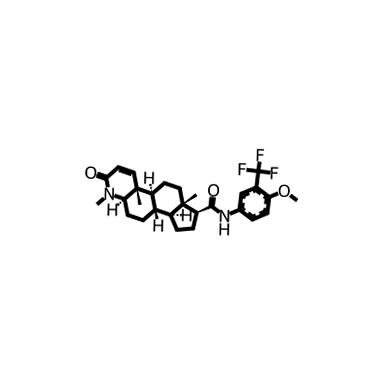 COc1ccc(NC(=O)[C@H]2CC[C@H]3[C@@H]4CC[C@H]5N(C)C(=O)C=C[C@]5(C)[C@H]4CC[C@]23C)cc1C(F)(F)F